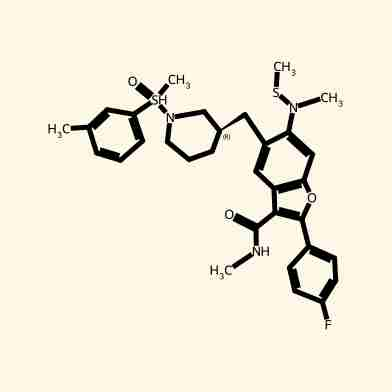 CNC(=O)c1c(-c2ccc(F)cc2)oc2cc(N(C)SC)c(C[C@H]3CCCN([SH](C)(=O)c4cccc(C)c4)C3)cc12